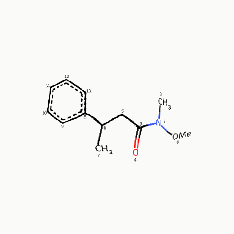 CON(C)C(=O)CC(C)c1ccccc1